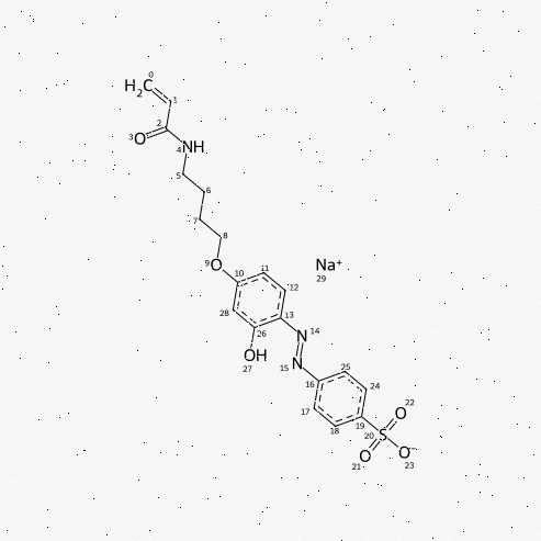 C=CC(=O)NCCCCOc1ccc(N=Nc2ccc(S(=O)(=O)[O-])cc2)c(O)c1.[Na+]